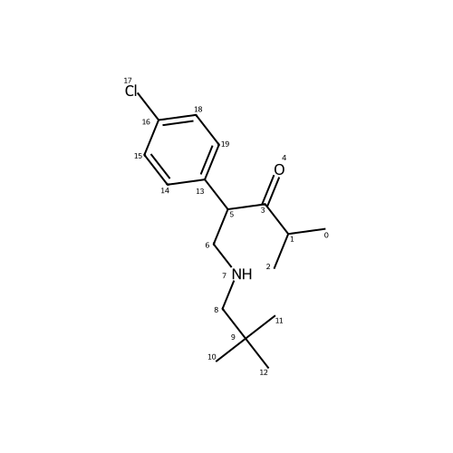 CC(C)C(=O)C(CNCC(C)(C)C)c1ccc(Cl)cc1